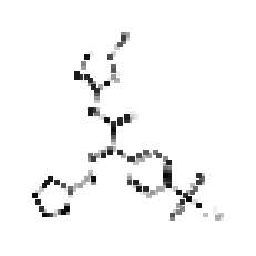 CS(=O)(=O)c1ccc(/C(=N\OC2CCCC2)C(=O)Nc2ncc(F)s2)cc1